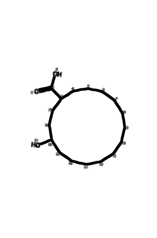 O=C(O)C1CCCCCCCCCCCCC(O)CC1